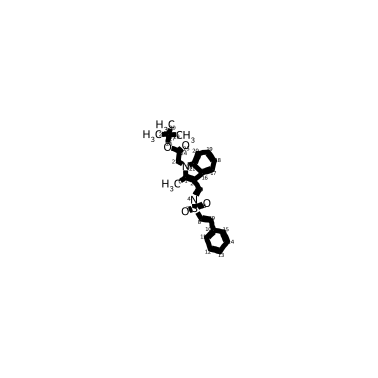 Cc1c(/C=N/S(=O)(=O)/C=C/c2ccccc2)c2ccccc2n1CC(=O)OC(C)(C)C